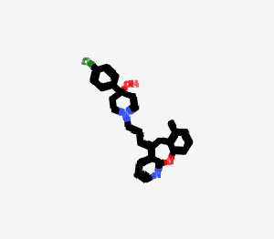 Cc1cccc2c1CC(=CCCN1CCC(O)(c3ccc(Cl)cc3)CC1)c1cccnc1O2